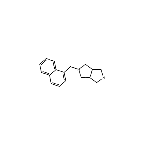 c1ccc2c(CN3CC4C[N]CC4C3)cccc2c1